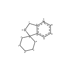 [CH]1CCC2(CC1)OCc1ncccc12